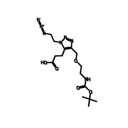 CC(C)(C)OC(=O)NCCOCc1nnn(CCN=[N+]=[N-])c1CCC(=O)O